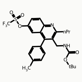 CCCc1nc2ccc(OS(=O)(=O)C(F)(F)F)cc2c(-c2ccc(C)cc2)c1CNC(=O)OC(C)(C)C